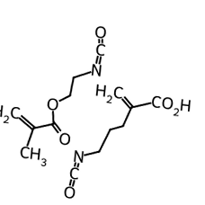 C=C(C)C(=O)OCCN=C=O.C=C(CCCN=C=O)C(=O)O